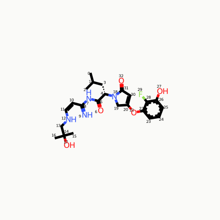 CC(C)C[C@@H](C(=O)NC(=N)/C=C\NCC(C)(C)O)N1CC(Oc2cccc(O)c2F)=CC1=O